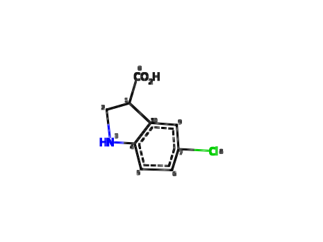 O=C(O)C1CNc2ccc(Cl)cc21